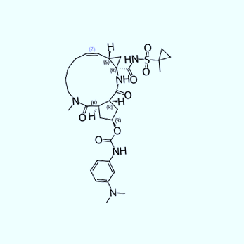 CN1CCCC/C=C\[C@@H]2C[C@@]2(C(=O)NS(=O)(=O)C2(C)CC2)NC(=O)[C@@H]2C[C@@H](OC(=O)Nc3cccc(N(C)C)c3)C[C@H]2C1=O